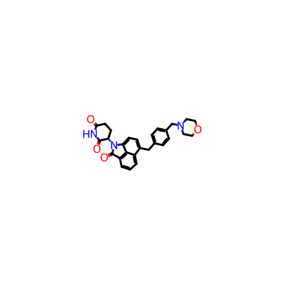 O=C1CC[C@@H](N2C(=O)c3cccc4c(Cc5ccc(CN6CCOCC6)cc5)ccc2c34)C(=O)N1